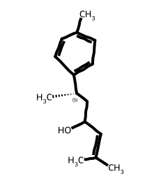 CC(C)=CC(O)C[C@H](C)c1ccc(C)cc1